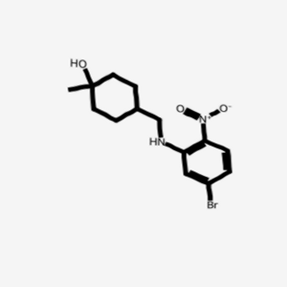 CC1(O)CCC(CNc2cc(Br)ccc2[N+](=O)[O-])CC1